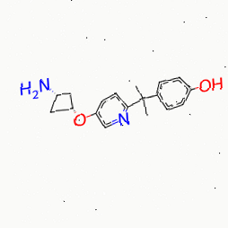 CC(C)(c1ccc(O)cc1)c1ccc(O[C@H]2C[C@@H](N)C2)cn1